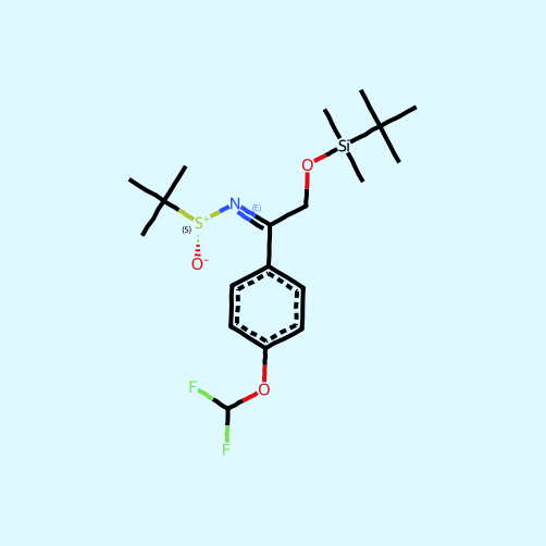 CC(C)(C)[S@@+]([O-])/N=C(/CO[Si](C)(C)C(C)(C)C)c1ccc(OC(F)F)cc1